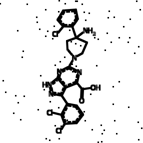 NC1(c2ccccc2Cl)CCN(c2nc(C(=O)O)c3c(-c4cccc(Cl)c4Cl)n[nH]c3n2)CC1